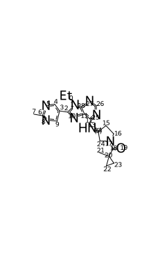 CCn1c(-c2cnc(C)nc2)nc2c(N[C@H]3CCN(C(=O)C4(C)CC4)C3)ncnc21